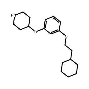 c1cc(OCCC2CCCCC2)cc(OC2CCNCC2)c1